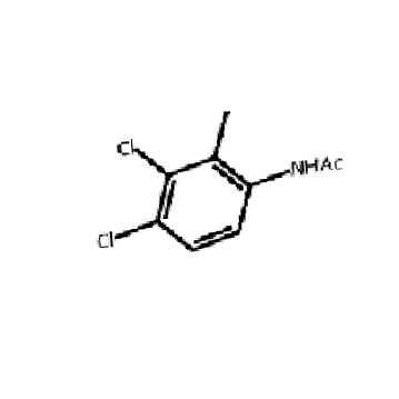 CC(=O)Nc1ccc(Cl)c(Cl)c1C